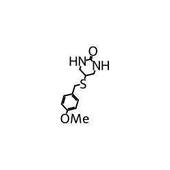 COc1ccc(CSC2CNC(=O)NC2)cc1